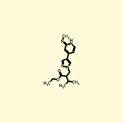 CCOC(=O)C(Cn1cc(-c2cc[nH]/c(=N\C)c2)cn1)C(C)C